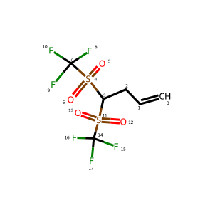 [CH]=CCC(S(=O)(=O)C(F)(F)F)S(=O)(=O)C(F)(F)F